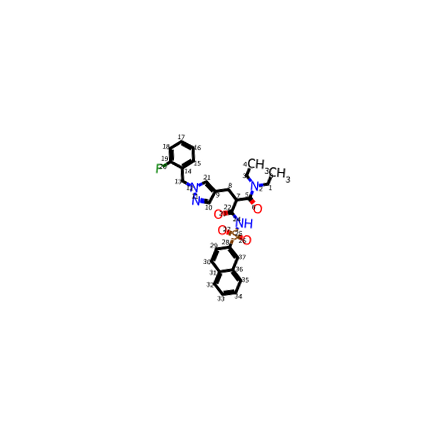 CCN(CC)C(=O)C(Cc1cnn(Cc2ccccc2F)c1)C(=O)NS(=O)(=O)c1ccc2ccccc2c1